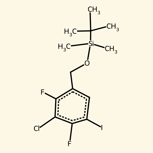 CC(C)(C)[Si](C)(C)OCc1cc(I)c(F)c(Cl)c1F